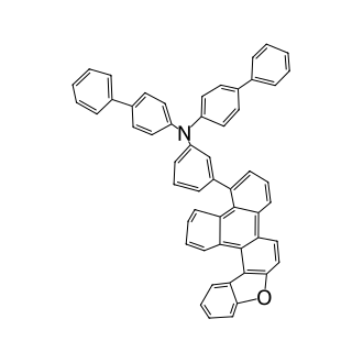 c1ccc(-c2ccc(N(c3ccc(-c4ccccc4)cc3)c3cccc(-c4cccc5c6ccc7oc8ccccc8c7c6c6ccccc6c45)c3)cc2)cc1